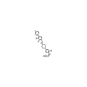 CCCCCCCCOc1ccc(C2CCC(OCc3ccc(-c4ccc(C)cc4)c(F)c3F)CC2)cc1F